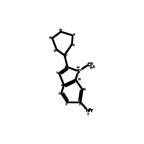 CCCc1ccc2cc(C3CCCCC3)[s+](C(F)(F)F)c2c1